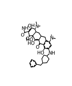 CN(C)c1cc(NC2CCC(Cc3ccccc3)CC2)c(O)c2c1CC1CC3C(N(C)C)C(O)=C(C(N)=O)C(=O)C3(O)C(O)=C1C2=O